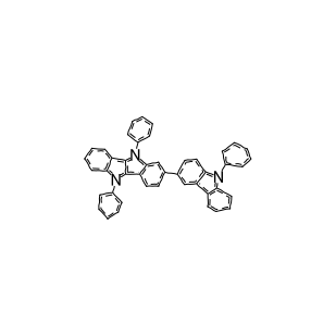 c1ccc(-n2c3ccccc3c3cc(-c4ccc5c(c4)n(-c4ccccc4)c4c6ccccc6n(-c6ccccc6)c54)ccc32)cc1